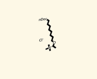 CCCCCCCCCCCCCCCCCCOC(C)[N+](C)(C)C.[Cl-]